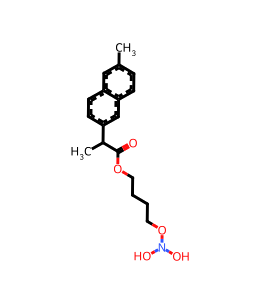 Cc1ccc2cc(C(C)C(=O)OCCCCON(O)O)ccc2c1